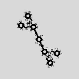 C(#Cc1ccc2c(c1)N(Cc1ccccc1)CN2Cc1ccccc1)c1ccc(C#Cc2ccc3c(c2)[n+](Cc2ccccc2)cn3Cc2ccccc2)cc1